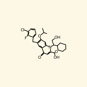 CC(C)Oc1cc2c(cc1Cc1cccc(Cl)c1F)c(=O)cc(C(=O)O)n2C(CO)C1CCCCC1